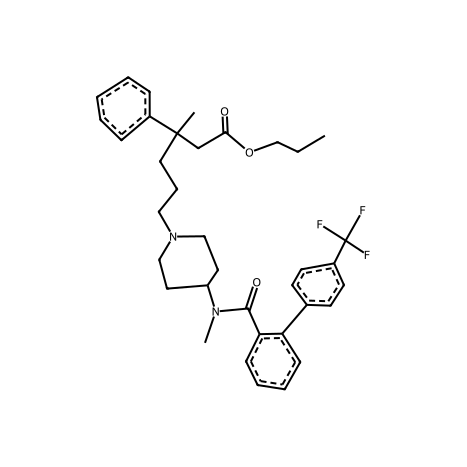 CCCOC(=O)CC(C)(CCCN1CCC(N(C)C(=O)c2ccccc2-c2ccc(C(F)(F)F)cc2)CC1)c1ccccc1